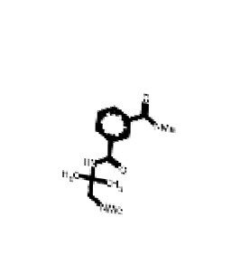 CNCC(C)(C)NC(=O)c1cccc(C(=O)NC)c1